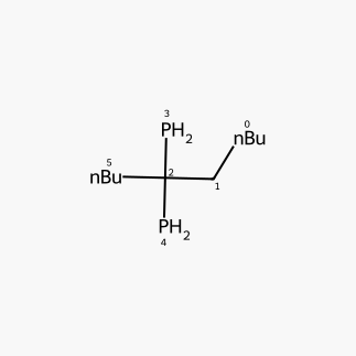 CCCCCC(P)(P)CCCC